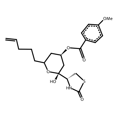 C=CCCCC1C[C@@H](OC(=O)c2ccc(OC)cc2)C[C@](O)([C@@H]2CSC(=O)N2)O1